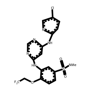 CNS(=O)(=O)c1ccc(OCC(F)(F)F)c(Nc2cc(Nc3ccc(Cl)cn3)ncn2)c1